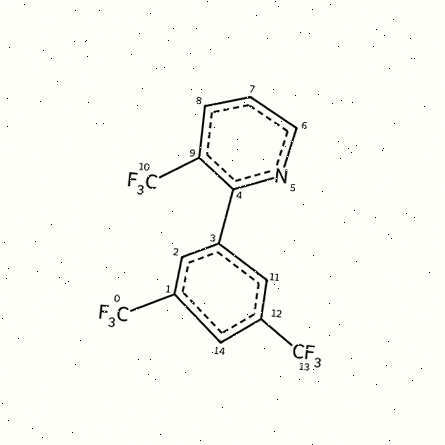 FC(F)(F)c1cc(-c2ncccc2C(F)(F)F)cc(C(F)(F)F)c1